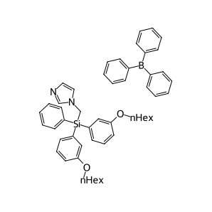 CCCCCCOc1cccc([Si](Cn2ccnc2)(c2ccccc2)c2cccc(OCCCCCC)c2)c1.c1ccc(B(c2ccccc2)c2ccccc2)cc1